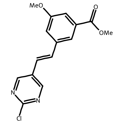 COC(=O)c1cc(C=Cc2cnc(Cl)nc2)cc(OC)c1